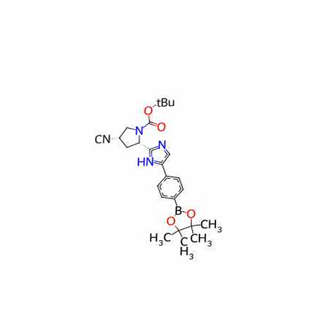 [C-]#[N+][C@H]1C[C@@H](c2ncc(-c3ccc(B4OC(C)(C)C(C)(C)O4)cc3)[nH]2)N(C(=O)OC(C)(C)C)C1